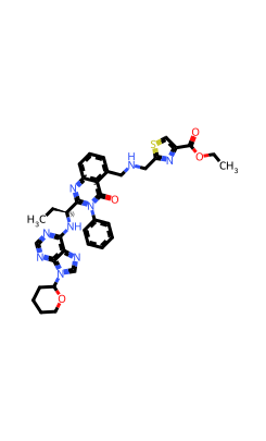 CCOC(=O)c1csc(CNCc2cccc3nc([C@H](CC)Nc4ncnc5c4ncn5C4CCCCO4)n(-c4ccccc4)c(=O)c23)n1